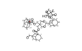 O=CC1CC2CCCC(C(=O)OCC3(COC(=O)C45CC6CC(C4)C(=O)C(C6)C5)COC(C4CC5CCCC(OC(=O)C(F)(F)S(=O)(=O)O)(C5)C4)OC3)(C1)C2